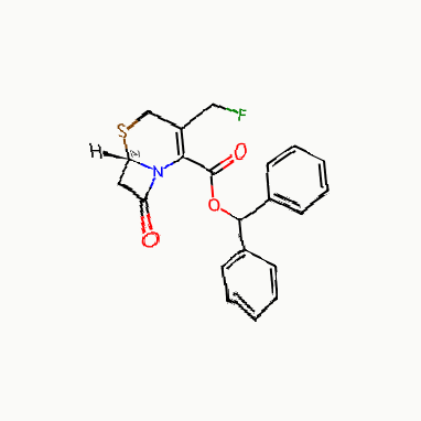 O=C(OC(c1ccccc1)c1ccccc1)C1=C(CF)CS[C@H]2CC(=O)N12